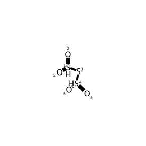 O=[SH](=O)S[SH](=O)=O